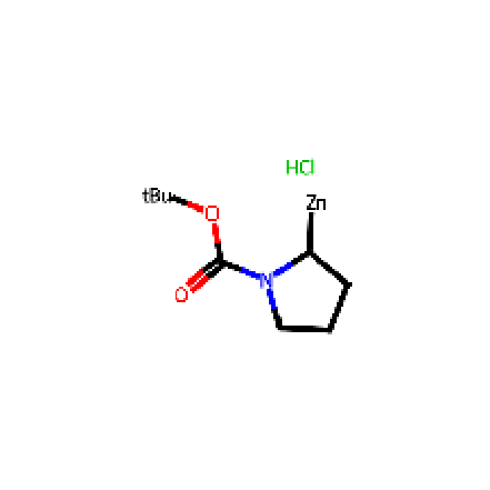 CC(C)(C)OC(=O)N1CCC[CH]1[Zn].Cl